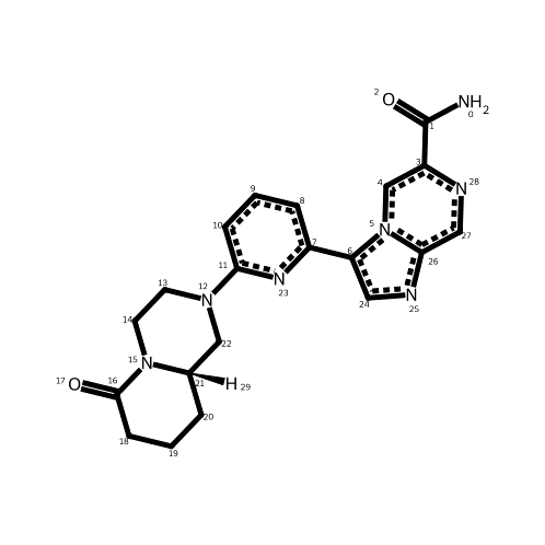 NC(=O)c1cn2c(-c3cccc(N4CCN5C(=O)CCC[C@H]5C4)n3)cnc2cn1